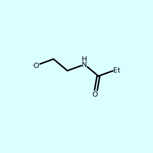 CCC(=O)NCC[O]